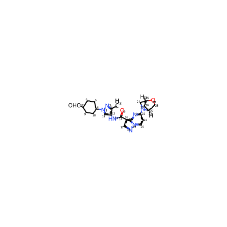 Cc1nn(C2CCC(C=O)CC2)cc1NC(=O)c1cnn2ccc(N3C[C@H]4C[C@@H]3CO4)nc12